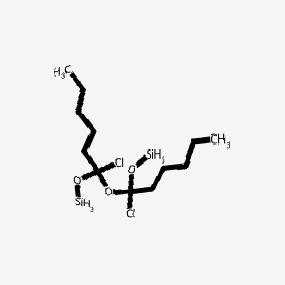 CCCCCC(Cl)(O[SiH3])OC(Cl)(CCCCC)O[SiH3]